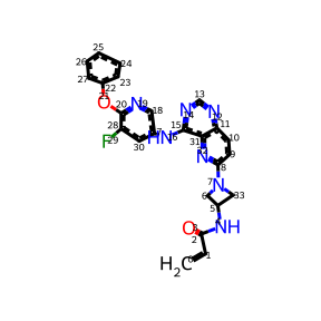 C=CC(=O)NC1CN(c2ccc3ncnc(Nc4cnc(Oc5ccccc5)c(F)c4)c3n2)C1